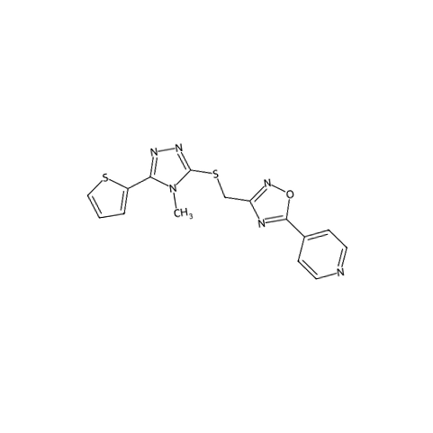 Cn1c(SCc2noc(-c3ccncc3)n2)nnc1-c1cccs1